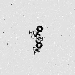 O=C(NCc1cc(C(F)(F)F)ccc1F)C(O)(CF)c1ccccc1